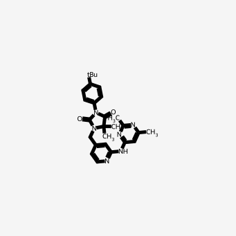 Cc1cc(Nc2cc(CN3C(=O)N(c4ccc(C(C)(C)C)cc4)C(=O)C3(C)C)ccn2)nc(C)n1